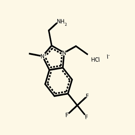 CCn1c(CN)[n+](C)c2ccc(C(F)(F)F)cc21.Cl.[I-]